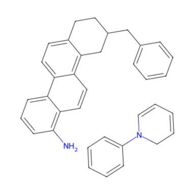 C1=CCN(c2ccccc2)C=C1.Nc1cccc2c1ccc1c3c(ccc12)CCC(Cc1ccccc1)C3